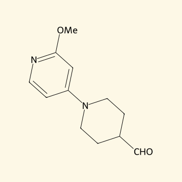 COc1cc(N2CCC(C=O)CC2)ccn1